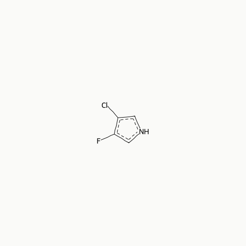 Fc1c[nH]cc1Cl